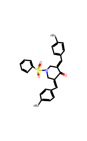 CCCCc1ccc(C=C2CN(S(=O)(=O)c3ccccc3)CC(=Cc3ccc(CCCC)cc3)C2=O)cc1